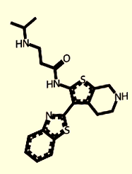 CC(C)NCCC(=O)Nc1sc2c(c1-c1nc3ccccc3s1)CCNC2